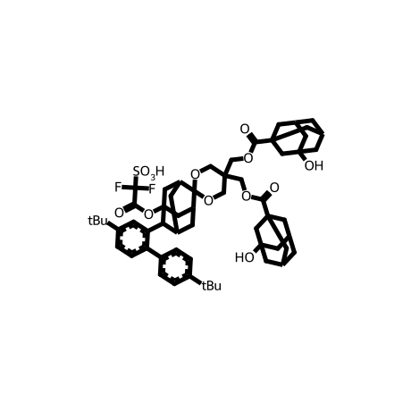 CC(C)(C)c1ccc(-c2ccc(C(C)(C)C)cc2C2C3CC4CC2(OC(=O)C(F)(F)S(=O)(=O)O)CC(C3)C42OCC(COC(=O)C34CC5CC(CC(O)(C5)C3)C4)(COC(=O)C34CC5CC(CC(O)(C5)C3)C4)CO2)cc1